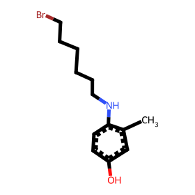 Cc1cc(O)ccc1NCCCCCCBr